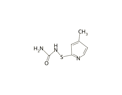 Cc1ccnc(SNC(N)=O)c1